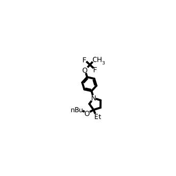 CCCCOC1(CC)CCN(c2ccc(OC(C)(F)F)cc2)C1